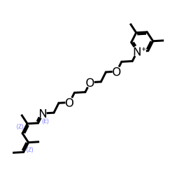 C\C=C(C)/C=C(C)\C=N\CCOCCOCCOCC[n+]1cc(C)cc(C)c1